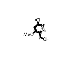 COc1cc(Cl)nnc1CO